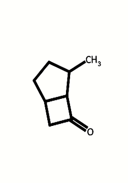 CC1CCC2CC(=O)C12